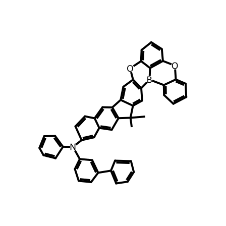 CC1(C)c2cc3c(cc2-c2cc4ccc(N(c5ccccc5)c5cccc(-c6ccccc6)c5)cc4cc21)Oc1cccc2c1B3c1ccccc1O2